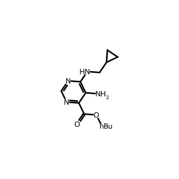 CCCCOC(=O)c1ncnc(NCC2CC2)c1N